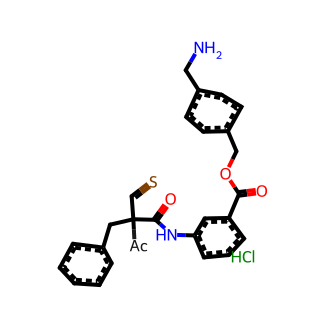 CC(=O)C(C=S)(Cc1ccccc1)C(=O)Nc1cccc(C(=O)OCc2ccc(CN)cc2)c1.Cl